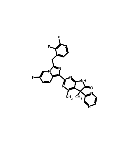 CC1(c2cnccn2)C(=O)Nc2nc(-c3nc(Cc4cccc(F)c4F)n4cc(F)ccc34)nc(N)c21